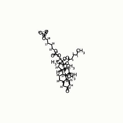 CCCCC(=O)O[C@]1(C(=O)COC(=O)OCCCCO[N+](=O)[O-])[C@@H](C)C[C@H]2C3CCC4=CC(=O)C=C[C@]4(C)[C@@]3(F)[C@@H](O)C[C@@]21C